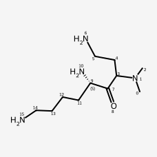 CN(C)C(CCN)C(=O)[C@@H](N)CCCCN